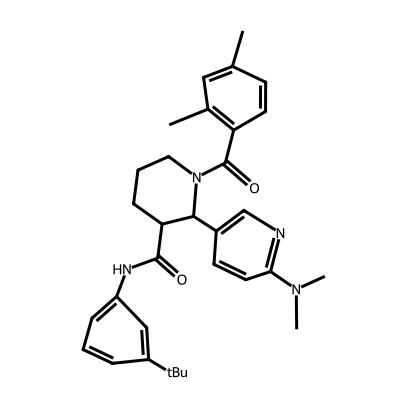 Cc1ccc(C(=O)N2CCCC(C(=O)Nc3cccc(C(C)(C)C)c3)C2c2ccc(N(C)C)nc2)c(C)c1